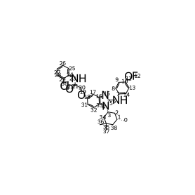 C[C@H]1C[C@@H](n2c(Nc3ccc(OF)cc3)nc3cc(OCC(=O)Nc4ccccc4Cl)ccc32)CC(C)(C)C1